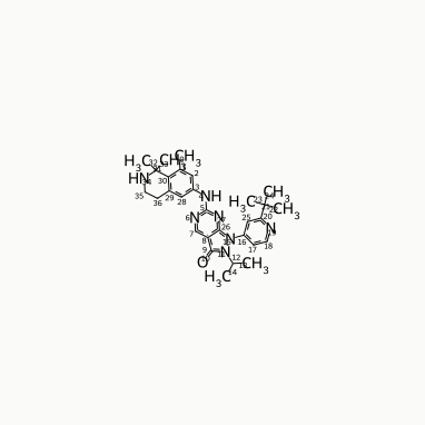 Cc1cc(Nc2ncc3c(=O)n(C(C)C)n(-c4ccnc(C(C)(C)C)c4)c3n2)cc2c1C(C)(C)NCC2